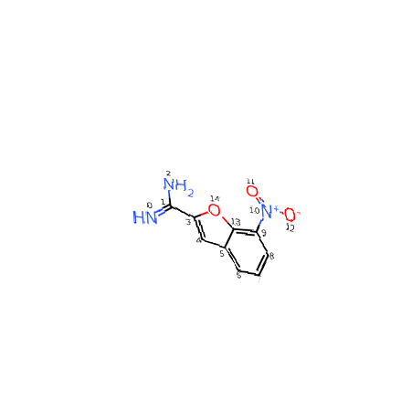 N=C(N)c1cc2cccc([N+](=O)[O-])c2o1